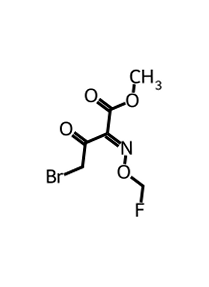 COC(=O)C(=NOCF)C(=O)CBr